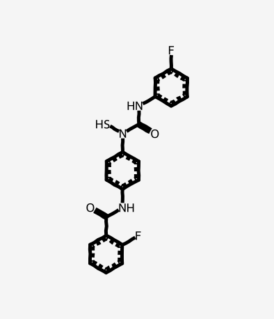 O=C(Nc1ccc(N(S)C(=O)Nc2cccc(F)c2)cc1)c1ccccc1F